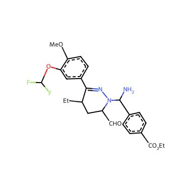 CCOC(=O)c1ccc(C(N)N2N=C(c3ccc(OC)c(OC(F)F)c3)C(CC)CC2C=O)cc1